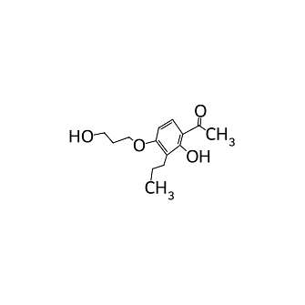 CCCc1c(OCCCO)ccc(C(C)=O)c1O